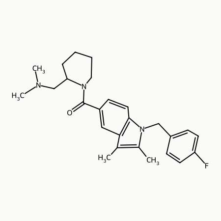 Cc1c(C)n(Cc2ccc(F)cc2)c2ccc(C(=O)N3CCCCC3CN(C)C)cc12